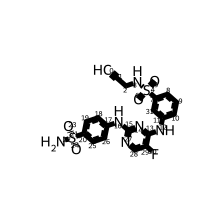 C#CCNS(=O)(=O)c1cccc(Nc2nc(Nc3ccc(S(N)(=O)=O)cc3)ncc2F)c1